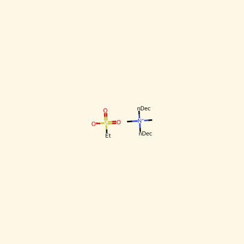 CCCCCCCCCC[N+](C)(C)CCCCCCCCCC.CCS(=O)(=O)[O-]